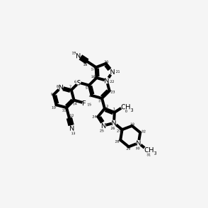 Cc1c(-c2cc(Sc3nccc(C#N)c3F)c3c(C#N)cnn3c2)cnn1C1CCN(C)CC1